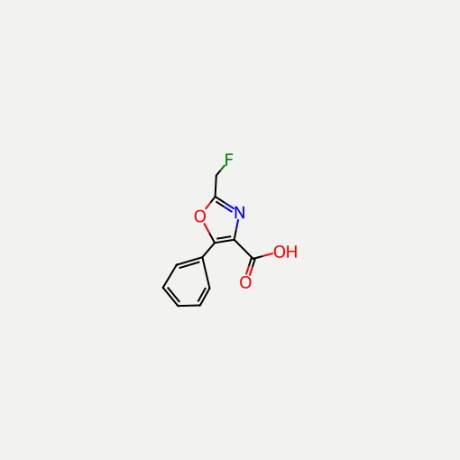 O=C(O)c1nc(CF)oc1-c1ccccc1